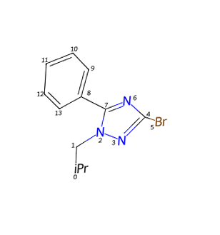 CC(C)Cn1nc(Br)nc1-c1ccccc1